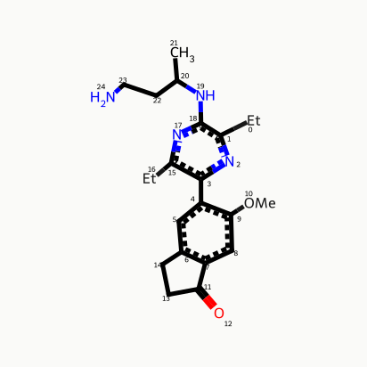 CCc1nc(-c2cc3c(cc2OC)C(=O)CC3)c(CC)nc1NC(C)CCN